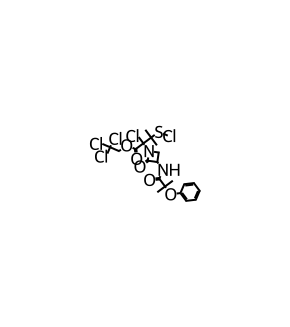 CC(C)(Oc1ccccc1)C(=O)NC1CN(C(Cl)(C(=O)OCC(Cl)(Cl)Cl)C(C)(C)SCl)C1=O